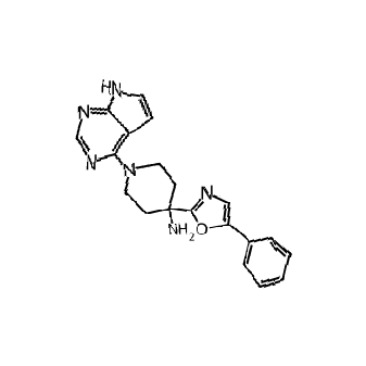 NC1(c2ncc(-c3ccccc3)o2)CCN(c2ncnc3[nH]ccc23)CC1